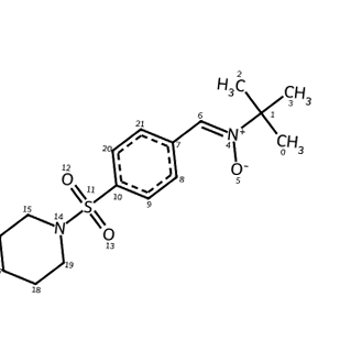 CC(C)(C)[N+]([O-])=Cc1ccc(S(=O)(=O)N2CCCCC2)cc1